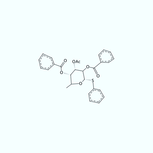 CC(=O)O[C@@H]1C(OC(=O)c2ccccc2)[C@H](Sc2ccccc2)OC(C)[C@@H]1OC(=O)c1ccccc1